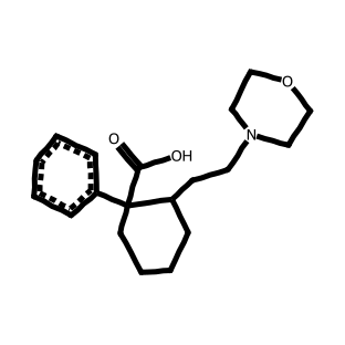 O=C(O)C1(c2ccccc2)CCCCC1CCN1CCOCC1